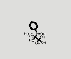 O=C(O)[C@@](O)(N(O)c1ccccc1)C(O)(O)O